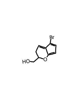 OCC1CC=C2C(Br)=CC=C2O1